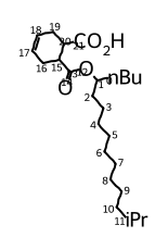 CCCCC(CCCCCCCCCC(C)C)OC(=O)C1CC=CCC1C(=O)O